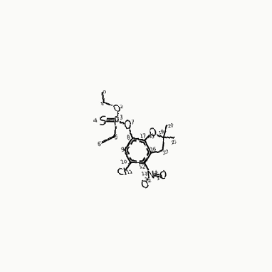 CCOP(=S)(CC)Oc1cc(Cl)c([N+](=O)[O-])c2c1OC(C)(C)C2